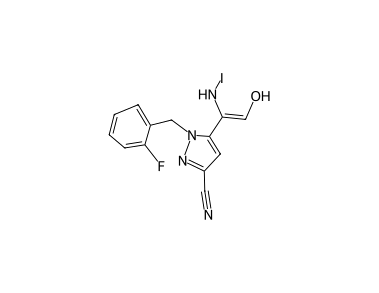 N#Cc1cc(/C(=C/O)NI)n(Cc2ccccc2F)n1